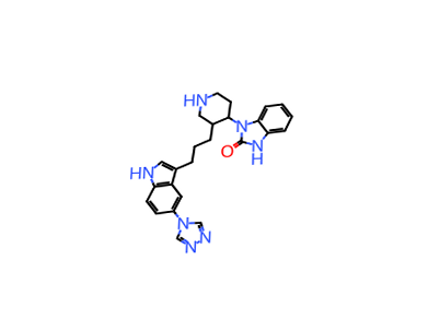 O=c1[nH]c2ccccc2n1C1CCNCC1CCCc1c[nH]c2ccc(-n3cnnc3)cc12